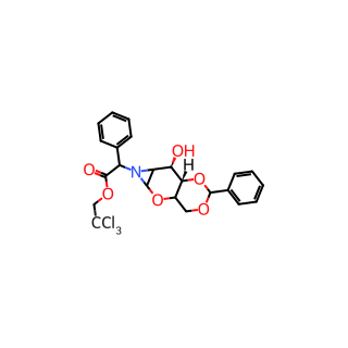 O=C(OCC(Cl)(Cl)Cl)C(c1ccccc1)N1C2OC3COC(c4ccccc4)O[C@H]3[C@H](O)C21